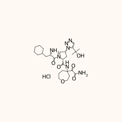 CC(C)(O)c1cnnn1[C@H]1C[C@@H](C(=O)NC2(C(=O)C(N)=O)CCCOCC2)N(C(=O)[C@H](N)CC2CCCCC2)C1.Cl